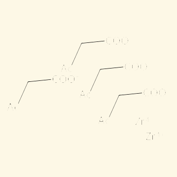 CC(=O)CC(=O)[O-].CC(=O)CC(=O)[O-].CC(=O)CC(=O)[O-].CC(=O)CC(=O)[O-].[Zr+4].[Zr+4]